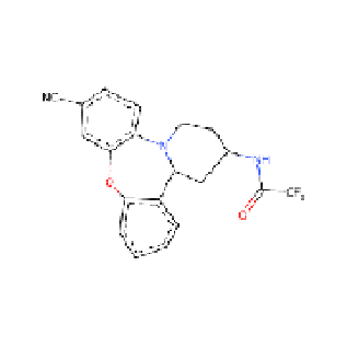 N#Cc1ccc2c(c1)Oc1ccccc1C1CC(NC(=O)C(F)(F)F)CCN21